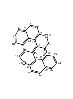 O=C1COc2ccc3ccccc3c2C1=C1C=COc2ccc3ccccc3c21